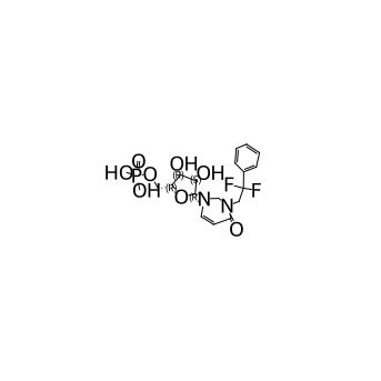 O=C1C=CN([C@@H]2O[C@H](COP(=O)(O)O)[C@H](O)[C@@H]2O)CN1CC(F)(F)c1ccccc1